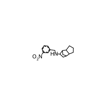 O=[N+]([O-])c1cccc(CNC2CC3CC2C2CCCC32)c1